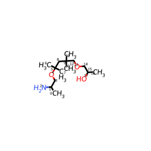 CC(N)COC(C)(C)CC(C)(C)COCC(C)O